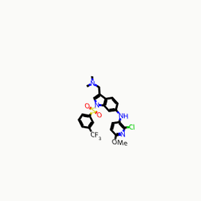 COc1ccc(Nc2ccc3c(CN(C)C)cn(S(=O)(=O)c4cccc(C(F)(F)F)c4)c3c2)c(Cl)n1